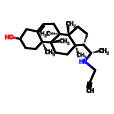 C#CCN[C@@H](C)[C@H]1CC[C@@]2(C)[C@]3(C)CC=C4CC(O)CC[C@]4(C)[C@@]3(C)CC[C@]12C